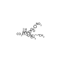 C=CCCCCN(C)C(=O)[C@@H]1C[C@@H](OC(=O)c2ccc([N+](=O)[O-])cc2)CN1C(=O)N[C@]1(C(=O)OCC)CC1I